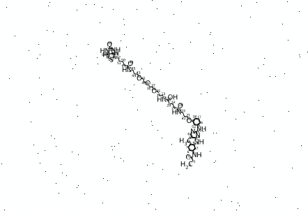 C=CC(=O)Nc1cccc(Nc2nc(Nc3cccc(OCCCNC(=O)CCCC(O)NCCCOCCOCCOCCCNC(=O)CCCC[C@@H]4SC[C@@H]5NC(=O)N[C@@H]54)c3)ncc2C)c1